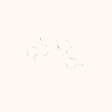 CCOC(=O)/C=C/c1c(C)cccc1[C@@H](C)OC[C@H](O)CN1CCC[C@H]1Cc1ccc(Cl)c(CC)c1